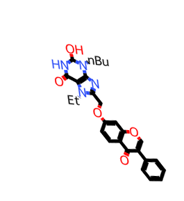 CCCCN1c2nc(COc3ccc4c(=O)c(-c5ccccc5)coc4c3)n(CC)c2C(=O)NC1O